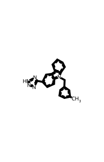 Cc1cccc(Cn2c3ccccc3c3cc(-c4nn[nH]n4)ccc32)c1